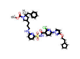 CC(C)(C)OC(=O)N1CC(CCCNc2cccc(S(=O)(=O)NC(=O)c3ccc(-n4ccc(OCCC5CCCC5)n4)nc3Cl)n2)CC1(C)Cc1ccccc1